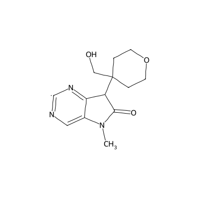 CN1C(=O)C(C2(CO)CCOCC2)c2n[c]ncc21